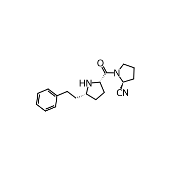 N#C[C@@H]1CCCN1C(=O)[C@@H]1CC[C@H](CCc2ccccc2)N1